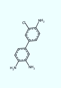 Nc1ccc(-c2ccc(N)c(Cl)c2)cc1N